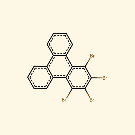 Brc1c(Br)c(Br)c2c3ccccc3c3ccccc3c2c1Br